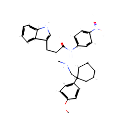 COc1ccc(C2(CNC[C@H](Cc3c[nH]c4ccccc34)C(=O)Nc3ccc([N+](=O)[O-])cc3)CCCCC2)cc1